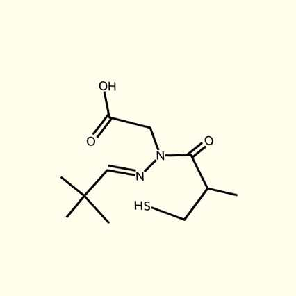 CC(CS)C(=O)N(CC(=O)O)N=CC(C)(C)C